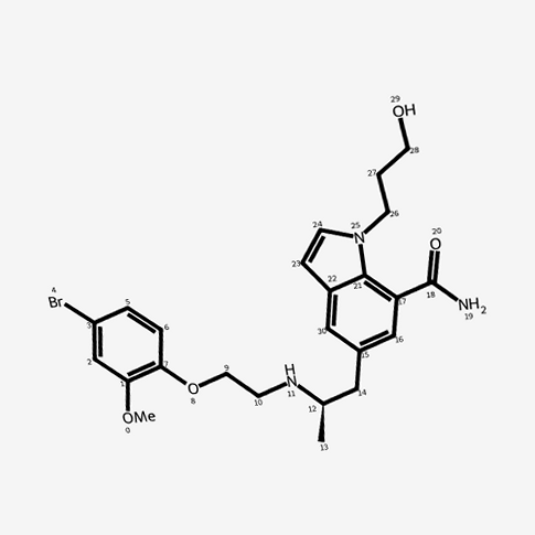 COc1cc(Br)ccc1OCCN[C@H](C)Cc1cc(C(N)=O)c2c(ccn2CCCO)c1